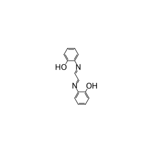 Oc1ccccc1N=CC=Nc1ccccc1O